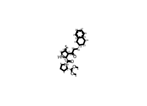 COC(OC)[C@@H]1CCCN1C(=O)[C@H]1NCC(=S)C1C(=O)CC[C@H]1CCc2ccccc2C1